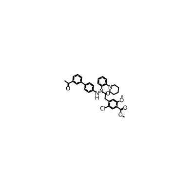 COC(=O)c1cc(Cl)c(CC(=O)N(Nc2ccc(-c3cccc(C(C)=O)c3)cc2)c2ccccc2N2CCCCC2)cc1OC